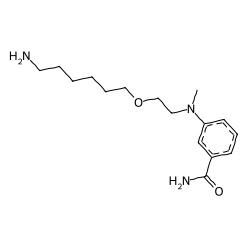 CN(CCOCCCCCCN)c1cccc(C(N)=O)c1